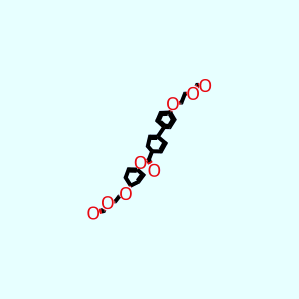 O=COCCOc1ccc(C2=CCC(C(=O)OC3=CCC(OCCOC=O)C=C3)C=C2)cc1